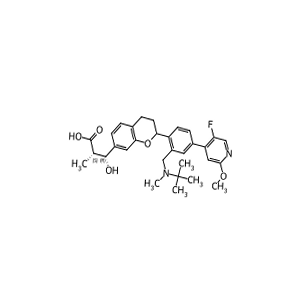 COc1cc(-c2ccc(C3CCc4ccc([C@H](O)[C@H](C)C(=O)O)cc4O3)c(CN(C)C(C)(C)C)c2)c(F)cn1